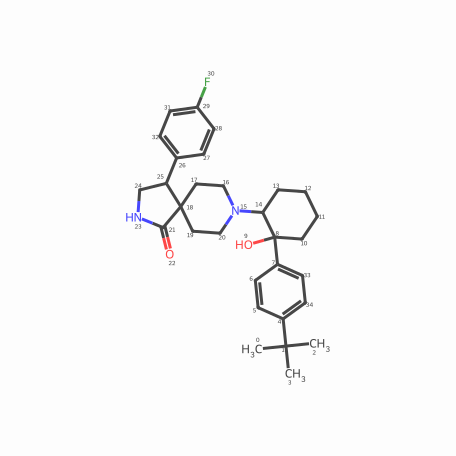 CC(C)(C)c1ccc(C2(O)CCCCC2N2CCC3(CC2)C(=O)NCC3c2ccc(F)cc2)cc1